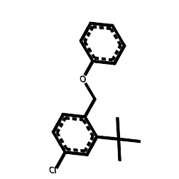 CC(C)(C)c1cc(Cl)ccc1COc1ccccc1